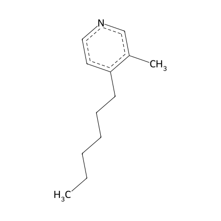 CCCCCCc1ccncc1C